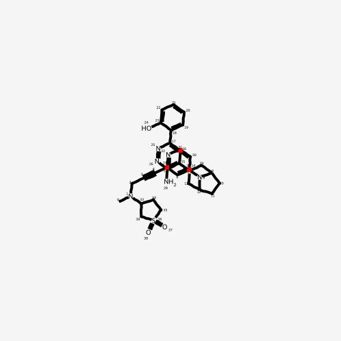 CN(CC#Cc1cc(N2C3CCC2CN(c2cc(-c4ccccc4O)nnc2N)C3)ccn1)C1CCS(=O)(=O)C1